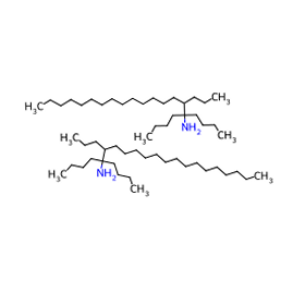 CCCCCCCCCCCCCCC(CCC)C(N)(CCCC)CCCC.CCCCCCCCCCCCCCCC(CCC)C(N)(CCCC)CCCC